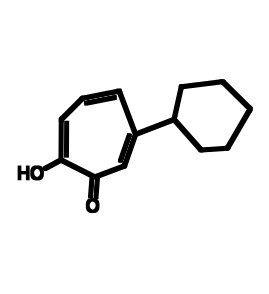 O=c1cc(C2CCCCC2)cccc1O